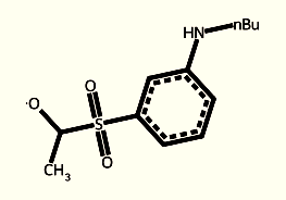 CCCCNc1cccc(S(=O)(=O)C(C)[O])c1